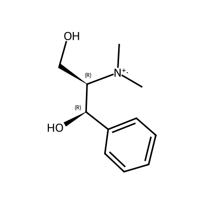 C[N+](C)[C@H](CO)[C@H](O)c1ccccc1